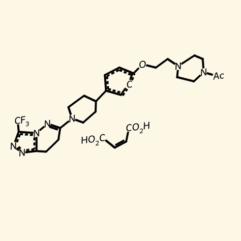 CC(=O)N1CCN(CCOc2ccc(C3CCN(C4=Nn5c(nnc5C(F)(F)F)CC4)CC3)cc2)CC1.O=C(O)/C=C\C(=O)O